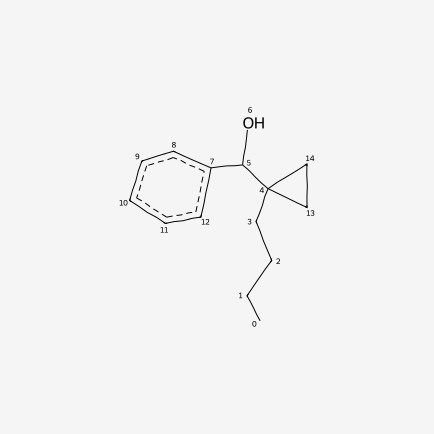 CCCCC1(C(O)c2ccccc2)CC1